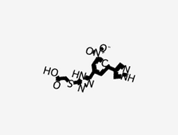 O=C(O)CSc1nnc(-c2cc(-c3cn[nH]c3)cc([N+](=O)[O-])c2)[nH]1